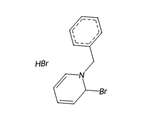 Br.BrC1C=CC=CN1Cc1ccccc1